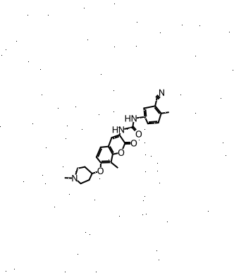 Cc1ccc(NC(=O)Nc2cc3ccc(OC4CCN(C)CC4)c(C)c3oc2=O)cc1C#N